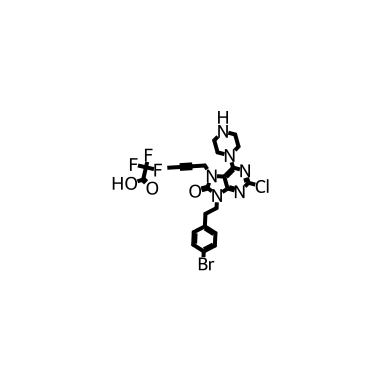 CC#CCn1c(=O)n(CCc2ccc(Br)cc2)c2nc(Cl)nc(N3CCNCC3)c21.O=C(O)C(F)(F)F